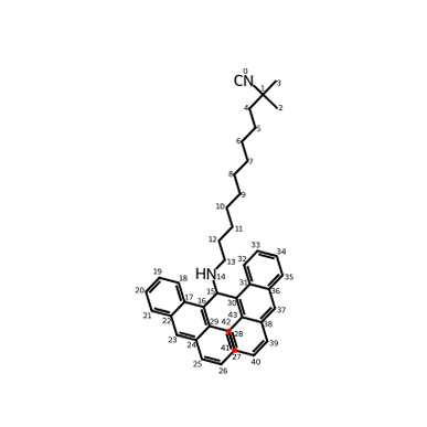 [C-]#[N+]C(C)(C)CCCCCCCCCCNC(c1c2ccccc2cc2ccccc12)c1c2ccccc2cc2ccccc12